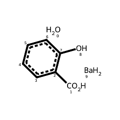 O.O=C(O)c1ccccc1O.[BaH2]